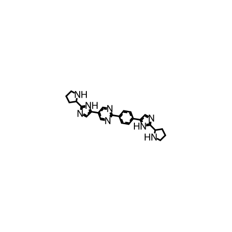 c1cc(-c2cnc(C3CCCN3)[nH]2)ccc1-c1ncc(-c2cnc(C3CCCN3)[nH]2)cn1